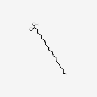 CCCCCCC/C=C/C=C/C=C/C=C/C=C/C(=O)O